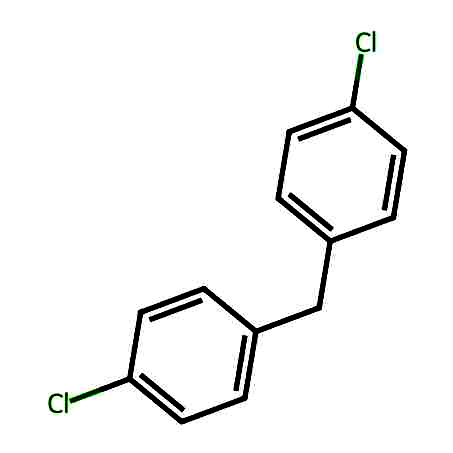 Clc1ccc(Cc2ccc(Cl)cc2)cc1